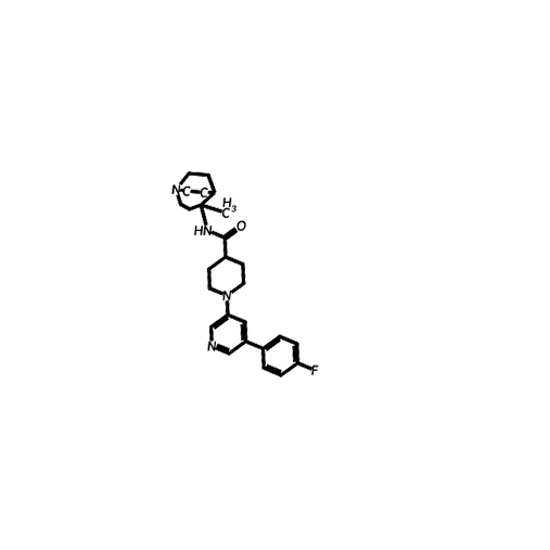 CC1(NC(=O)C2CCN(c3cncc(-c4ccc(F)cc4)c3)CC2)CCN2CCC1CC2